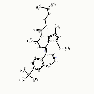 CCn1nc(C)cc1/C(OC(C)OC(=O)OCCC(C)C)=C(\C=N/C)c1ccc(C(C)(C)C)cc1